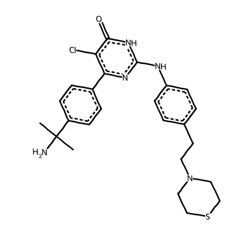 CC(C)(N)c1ccc(-c2nc(Nc3ccc(CCN4CCSCC4)cc3)[nH]c(=O)c2Cl)cc1